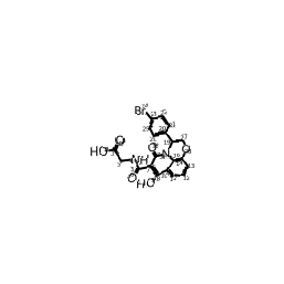 O=C(O)CNC(=O)c1c(O)c2cccc3c2n(c1=O)C(c1ccc(Br)cc1)CO3